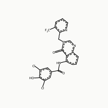 O=C(Nc1cccc2ncn(Cc3ncccc3C(F)(F)F)c(=O)c12)c1cc(Cl)c(O)c(Cl)c1